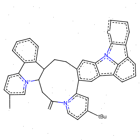 C=C1CC2C(CCc3cc4c(cc3-c3cc(C(C)(C)C)cc[n+]31)c1cccc3c5ccccc5n4c31)c1ccccc1-c1ccc(C)c[n+]12